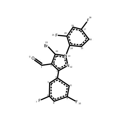 O=Cc1c(-c2cc(F)cc(F)c2)nn(-c2ccc(F)cc2F)c1Br